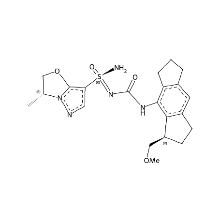 COC[C@@H]1CCc2cc3c(c(NC(=O)N=[S@@](N)(=O)c4cnn5c4OC[C@H]5C)c21)CCC3